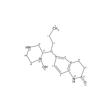 CCCC(c1ccc2c(c1)CCC(=O)N2)C1CNCCN1O